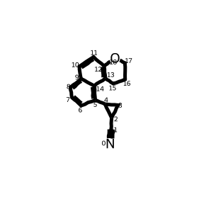 N#CC1CC1c1cccc2ccc3c(c12)CCCO3